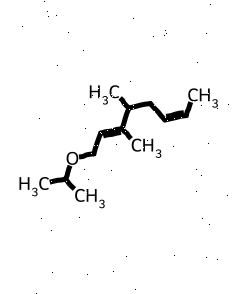 C/C=C\CC(C)/C(C)=C/COC(C)C